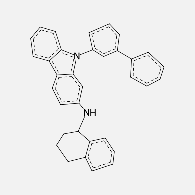 c1ccc(-c2cccc(-n3c4ccccc4c4ccc(NC5CCCc6ccccc65)cc43)c2)cc1